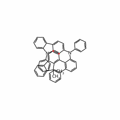 CC1(C)c2ccccc2-c2cccc(-c3c(-c4ccccc4)cccc3N(c3ccccc3)c3ccc4c5ccccc5n(-c5ccccc5)c4c3)c21